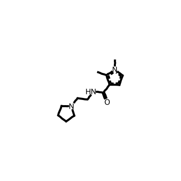 Cc1c(C(=O)NCCN2CCCC2)ccn1C